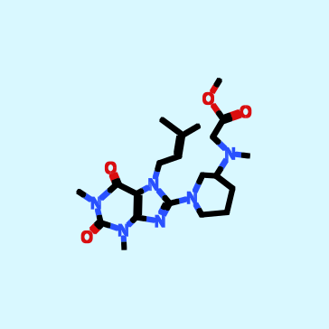 COC(=O)CN(C)C1CCCN(c2nc3c(c(=O)n(C)c(=O)n3C)n2CC=C(C)C)C1